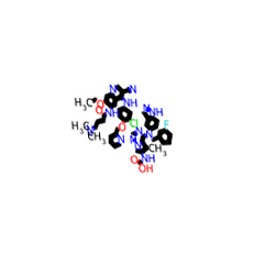 CCOc1cc2ncc(C#N)c(Nc3ccc(OCc4ccccn4)c(Cl)c3)c2cc1NC(=O)/C=C/CN(C)C.Cc1c(NC(=O)O)cn2ncnc(N(Cc3cccc(F)c3)c3ccc4[nH]ncc4c3)c12